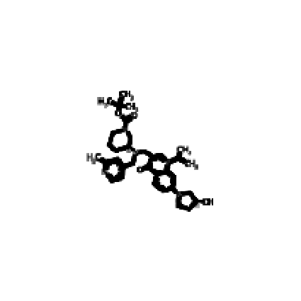 Cc1cc(CN(Cc2cn(C(C)C)c3cc(N4CC[C@@H](O)C4)ccc3c2=O)[C@H]2CCCN(C(=O)OC(C)(C)C)C2)ccn1